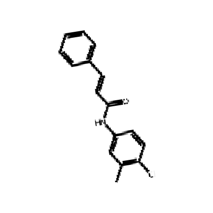 Cc1cc(NC(=O)/C=C/c2ccccc2)ccc1Cl